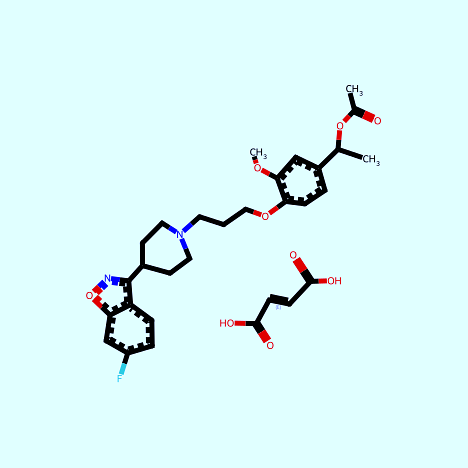 COc1cc(C(C)OC(C)=O)ccc1OCCCN1CCC(c2noc3cc(F)ccc23)CC1.O=C(O)/C=C/C(=O)O